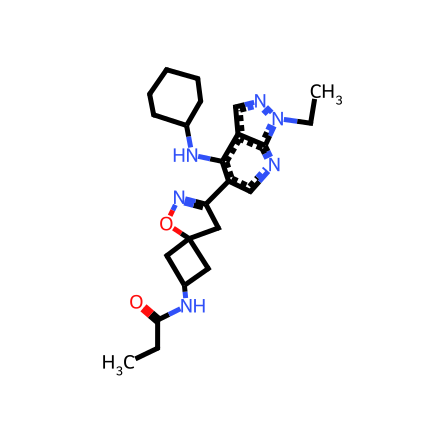 CCC(=O)NC1CC2(CC(c3cnc4c(cnn4CC)c3NC3CCCCC3)=NO2)C1